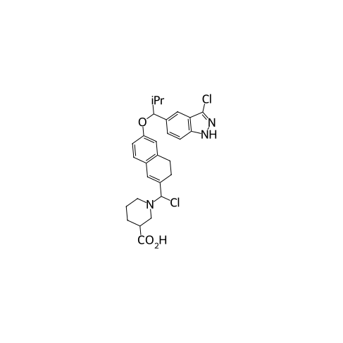 CC(C)C(Oc1ccc2c(c1)CCC(C(Cl)N1CCCC(C(=O)O)C1)=C2)c1ccc2[nH]nc(Cl)c2c1